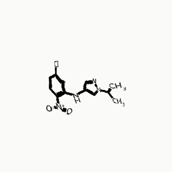 CC(C)n1cc(Nc2cc(Cl)ccc2[N+](=O)[O-])cn1